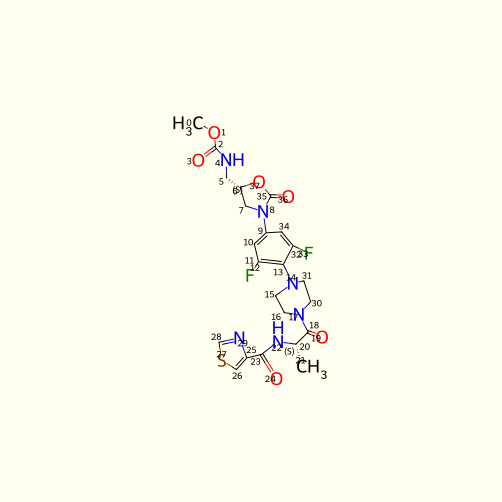 COC(=O)NC[C@H]1CN(c2cc(F)c(N3CCN(C(=O)[C@H](C)NC(=O)c4cscn4)CC3)c(F)c2)C(=O)O1